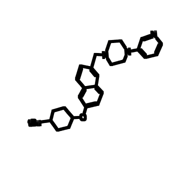 CC(C)(C)C1CCC(Oc2ccc3cc(CN4CCN(c5cccnc5)CC4)ccc3c2)CC1